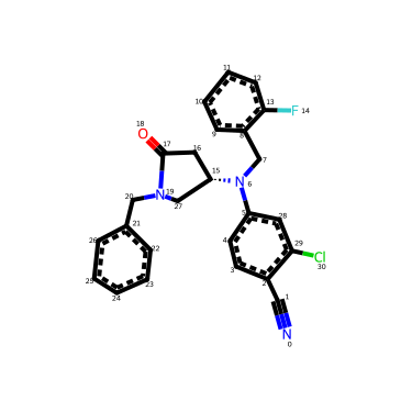 N#Cc1ccc(N(Cc2ccccc2F)[C@H]2CC(=O)N(Cc3ccccc3)C2)cc1Cl